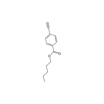 C#Cc1ccc(C(=O)OCCCCC)cc1